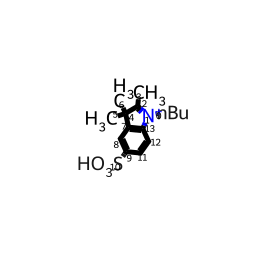 CCCC[N+]1=C(C)C(C)(C)c2cc(S(=O)(=O)O)ccc21